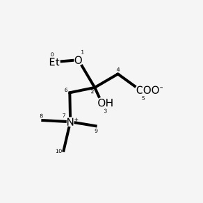 CCOC(O)(CC(=O)[O-])C[N+](C)(C)C